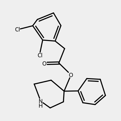 O=C(Cc1cccc(Cl)c1Cl)OC1(c2ccccc2)CCNCC1